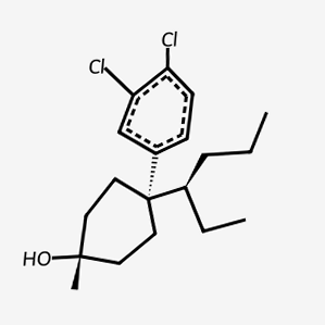 CCC[C@@H](CC)[C@]1(c2ccc(Cl)c(Cl)c2)CC[C@@](C)(O)CC1